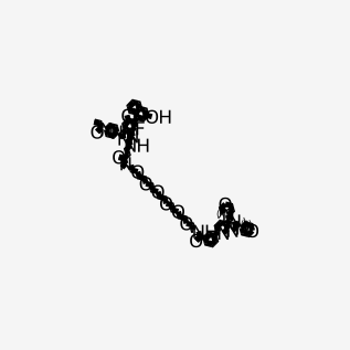 C=CC(=O)N1CCN(c2nc(NCCC(=O)N(C)CCOCCOCCOCCOCCOCCOCCNC(=O)c3cccc(-c4ccc5c(N6CCOC[C@H]6C)nc(N6CCOC[C@H]6C)nc5n4)c3)nc3c(F)c(-c4cc(O)cc5ccccc45)c(Cl)cc23)CC1